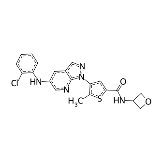 Cc1sc(C(=O)NC2COC2)cc1-n1ncc2cc(Nc3ccccc3Cl)cnc21